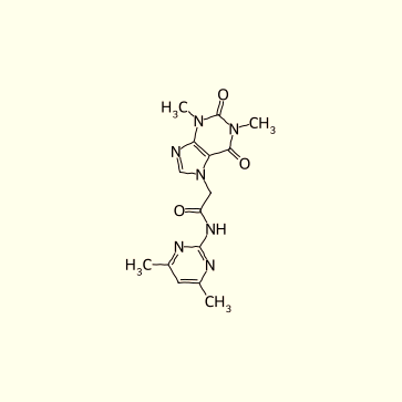 Cc1cc(C)nc(NC(=O)Cn2cnc3c2c(=O)n(C)c(=O)n3C)n1